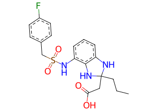 CCCC1(CC(=O)O)Nc2cccc(NS(=O)(=O)Cc3ccc(F)cc3)c2N1